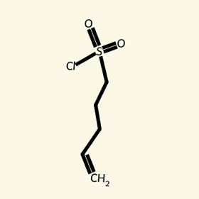 C=CCCCS(=O)(=O)Cl